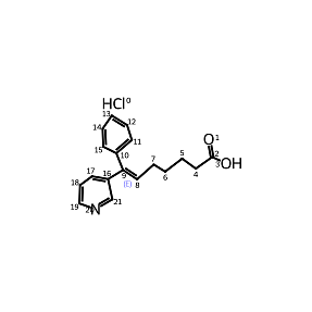 Cl.O=C(O)CCCC/C=C(\c1ccccc1)c1cccnc1